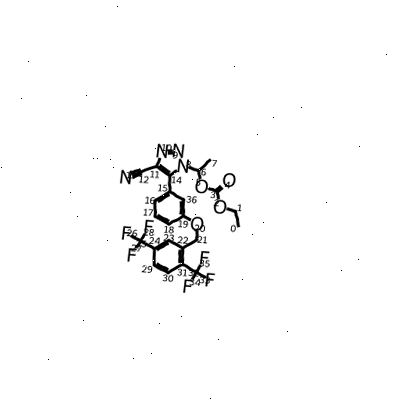 CCOC(=O)OC(C)n1nnc(C#N)c1-c1cccc(OCc2cc(C(F)(F)F)ccc2C(F)(F)F)c1